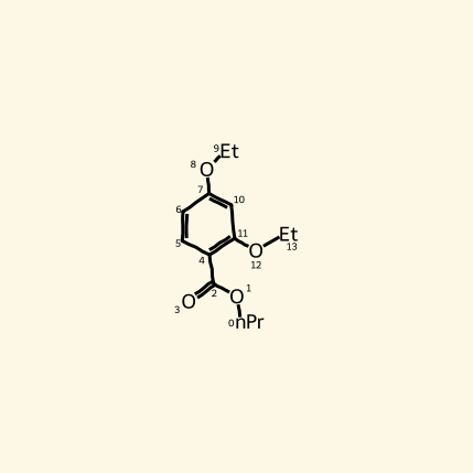 CCCOC(=O)c1ccc(OCC)cc1OCC